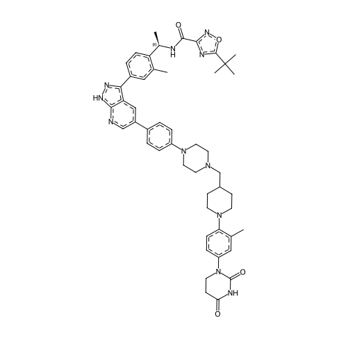 Cc1cc(-c2n[nH]c3ncc(-c4ccc(N5CCN(CC6CCN(c7ccc(N8CCC(=O)NC8=O)cc7C)CC6)CC5)cc4)cc23)ccc1[C@@H](C)NC(=O)c1noc(C(C)(C)C)n1